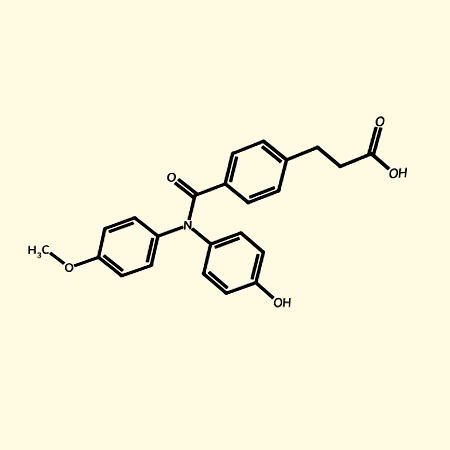 COc1ccc(N(C(=O)c2ccc(CCC(=O)O)cc2)c2ccc(O)cc2)cc1